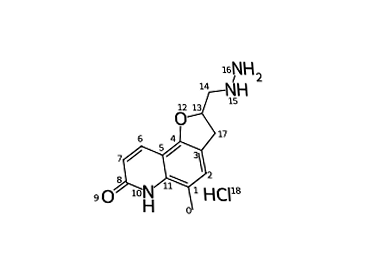 Cc1cc2c(c3ccc(=O)[nH]c13)OC(CNN)C2.Cl